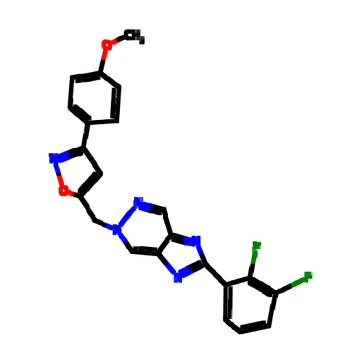 COc1ccc(-c2cc(Cn3cc4nc(-c5cccc(F)c5F)nc-4cn3)on2)cc1